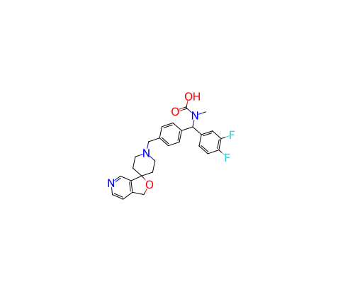 CN(C(=O)O)C(c1ccc(CN2CCC3(CC2)OCc2ccncc23)cc1)c1ccc(F)c(F)c1